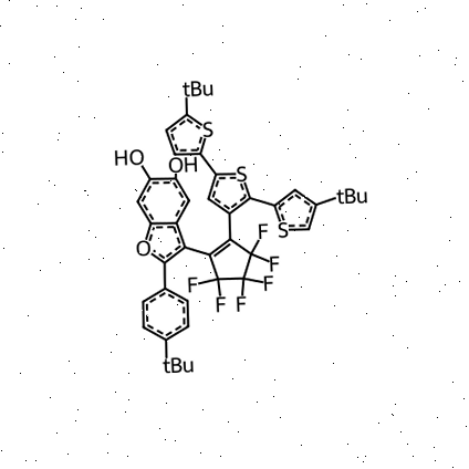 CC(C)(C)c1ccc(-c2oc3cc(O)c(O)cc3c2C2=C(c3cc(-c4ccc(C(C)(C)C)s4)sc3-c3cc(C(C)(C)C)cs3)C(F)(F)C(F)(F)C2(F)F)cc1